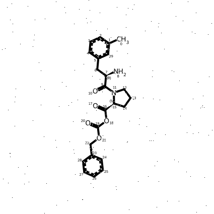 Cc1cccc(C[C@@H](N)C(=O)N2CCC[C@H]2C(=O)OC(=O)OCc2ccccc2)c1